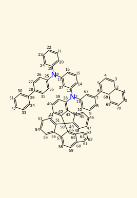 C1=CC2C=CC=C(c3cccc(N(c4cccc(N(c5ccccc5)c5ccc(-c6ccccc6)cc5)c4)c4cccc5c4-c4ccccc4C54c5ccccc5-c5ccc6ccccc6c54)c3)C2C=C1